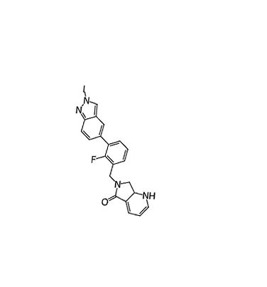 O=C1C2=CC=CNC2CN1Cc1cccc(-c2ccc3nn(I)cc3c2)c1F